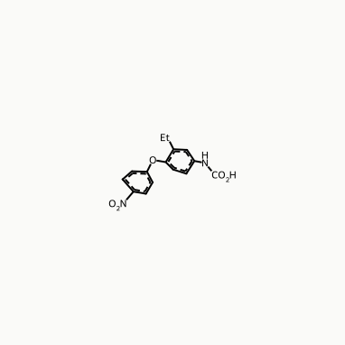 CCc1cc(NC(=O)O)ccc1Oc1ccc([N+](=O)[O-])cc1